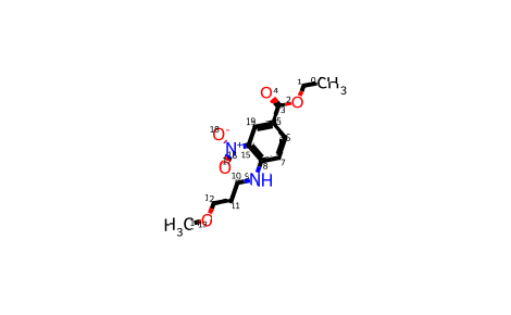 CCOC(=O)c1ccc(NCCCOC)c([N+](=O)[O-])c1